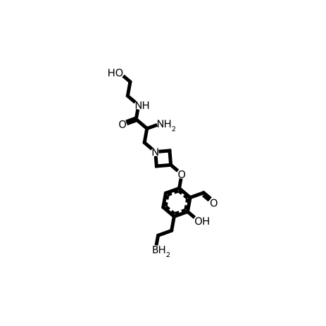 BCCc1ccc(OC2CN(CC(N)C(=O)NCCO)C2)c(C=O)c1O